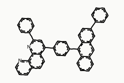 c1ccc(-c2ccc3c(-c4ccc(-c5cc(-c6ccccc6)nc6c5ccc5cccnc56)cc4)c4ccccc4cc3c2)cc1